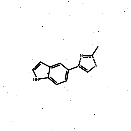 Cc1nc(-c2ccc3[nH]ccc3c2)cs1